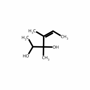 CC=C(C)C(C)(O)C(C)O